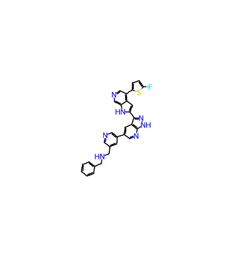 Fc1ccc(-c2cncc3[nH]c(-c4n[nH]c5ncc(-c6cncc(CNCc7ccccc7)c6)cc45)cc23)s1